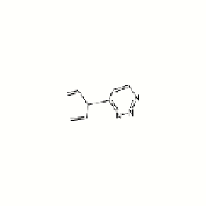 C=CC(C=C)c1ccnnn1